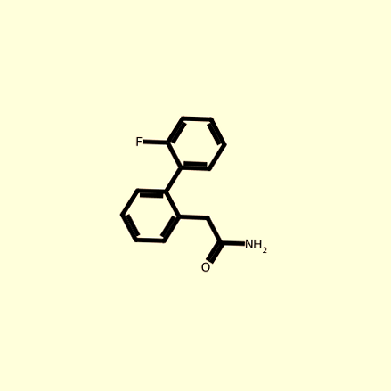 NC(=O)Cc1ccccc1-c1ccccc1F